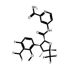 COc1c([C@H]2[C@@H](C(=O)Nc3ccnc(C(N)=O)c3)O[C@](C)(C(F)(F)F)[C@@H]2C)ccc(F)c1C(F)F